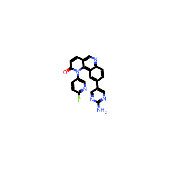 Nc1ncc(-c2ccc3ncc4ccc(=O)n(-c5ccc(F)nc5)c4c3c2)cn1